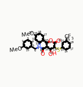 COc1cccc(Cn2c(=O)c3c(O)c(Sc4cccc(C(F)(F)F)c4)c(=O)oc3c3ccc(OC)cc32)c1